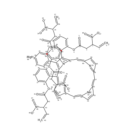 C=CC(CC(=O)Oc1ccccc1-c1c(-c2ccccc2OC(=O)CC(C=C)[N+](=O)[O-])c2c(-c3ccccc3OC(=O)CC(C=C)[N+](=O)[O-])c3nc(cc4ccc(cc5nc(cc1n2-c1ccccc1OC(=O)CC(C=C)[N+](=O)[O-])C=C5)[nH]4)C=C3)[N+](=O)[O-].[MgH2]